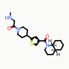 CNCC(=O)N1CCC(c2cc(C(=O)N3CCC[C@H]4CCCC[C@H]43)cs2)CC1